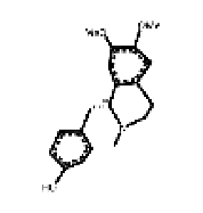 COc1cc2c(cc1OC)[C@@H](Cc1ccc(O)cc1)N(C)CC2